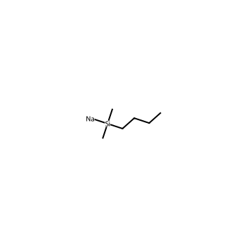 CCCC[Si](C)(C)[Na]